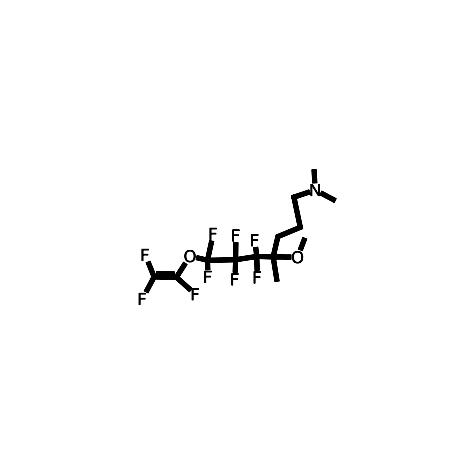 COC(C)(CCCN(C)C)C(F)(F)C(F)(F)C(F)(F)OC(F)=C(F)F